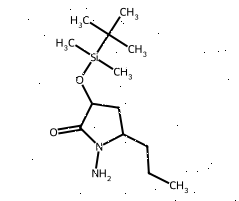 CCCC1CC(O[Si](C)(C)C(C)(C)C)C(=O)N1N